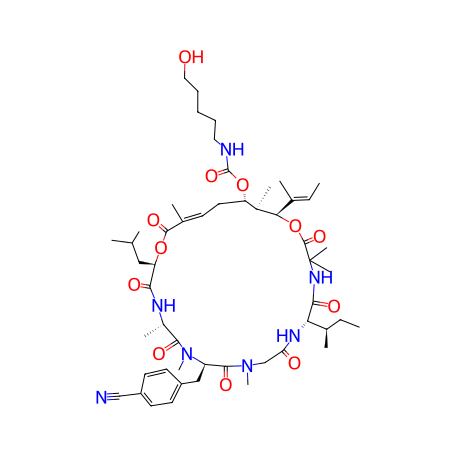 C/C=C(\C)[C@H]1OC(=O)C(C)(C)NC(=O)[C@H]([C@H](C)CC)NC(=O)CN(C)C(=O)[C@@H](Cc2ccc(C#N)cc2)N(C)C(=O)[C@H](C)NC(=O)[C@@H](CC(C)C)OC(=O)/C(C)=C/C[C@H](OC(=O)NCCCCCO)[C@@H]1C